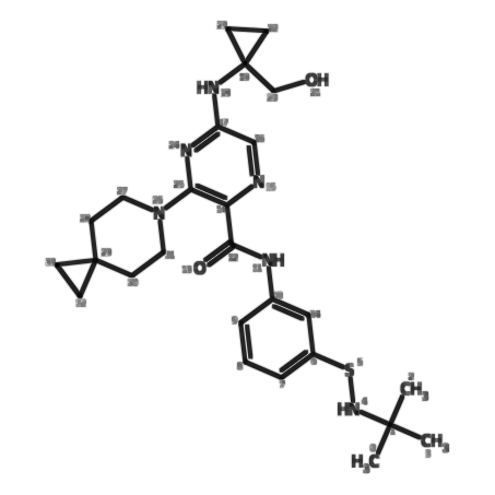 CC(C)(C)NSc1cccc(NC(=O)c2ncc(NC3(CO)CC3)nc2N2CCC3(CC2)CC3)c1